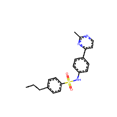 CCCc1ccc(S(=O)(=O)Nc2ccc(-c3ccnc(C)n3)cc2)cc1